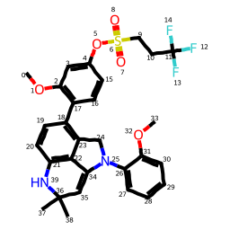 COc1cc(OS(=O)(=O)CCC(F)(F)F)ccc1-c1ccc2c3c1CN(c1ccccc1OC)C3=CC(C)(C)N2